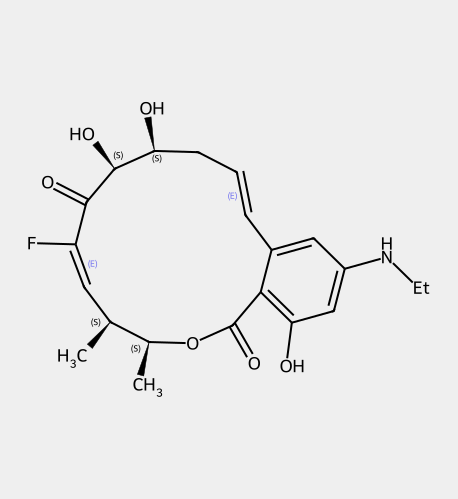 CCNc1cc(O)c2c(c1)/C=C/C[C@H](O)[C@H](O)C(=O)/C(F)=C\[C@H](C)[C@H](C)OC2=O